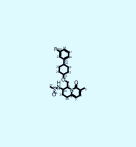 Cc1ccc2n(c1=O)C(COC1CCC(c3cccc(F)c3)CC1)C(N[S+](C)[O-])CC2